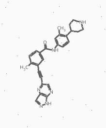 Cc1ccc(C(=O)Nc2ccc(C3CCNCC3)c(C)c2)cc1C#Cc1cnc2[nH]ncc2n1